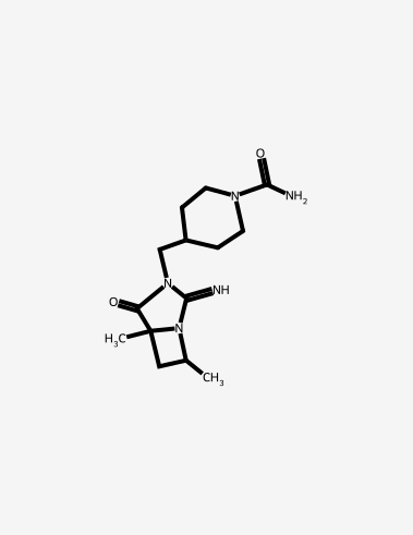 CC1CC2(C)C(=O)N(CC3CCN(C(N)=O)CC3)C(=N)N12